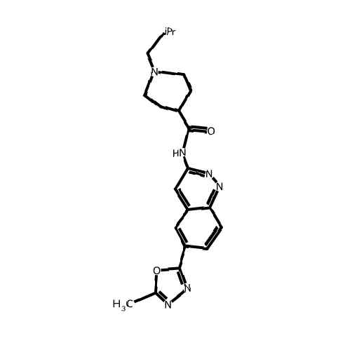 Cc1nnc(-c2ccc3nnc(NC(=O)C4CCN(CC(C)C)CC4)cc3c2)o1